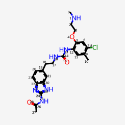 CNCCOc1cc(Cl)c(C)cc1NC(=O)NCCc1ccc2nc(NC(C)=O)[nH]c2c1